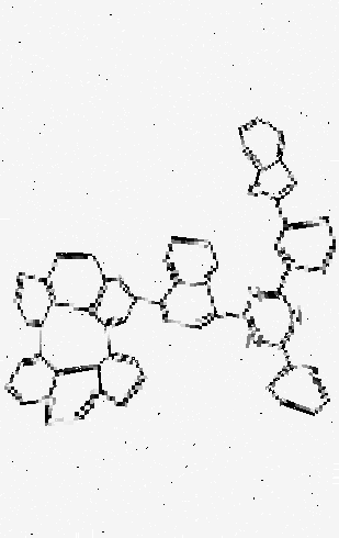 c1ccc(-c2nc(-c3cccc(-c4cc5ccccc5o4)c3)nc(-c3ccc(-c4cc5ccc6cccc7c8cccc9ccc%10cccc(c(c4)c5c67)c%10c98)c4ccccc34)n2)cc1